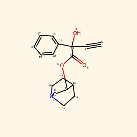 C#CC(O)(C(=O)OC1CN2CCC1CC2)c1ccccc1